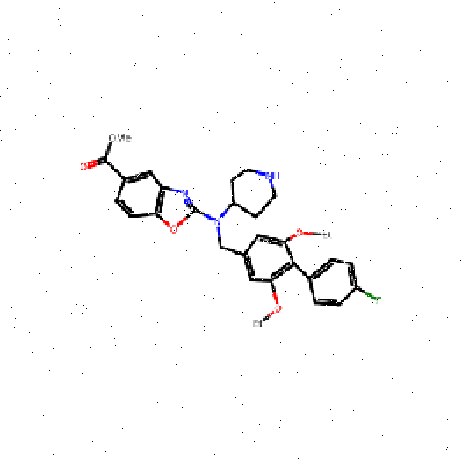 CCOc1cc(CN(c2nc3cc(C(=O)OC)ccc3o2)C2CCNCC2)cc(OCC)c1-c1ccc(F)cc1